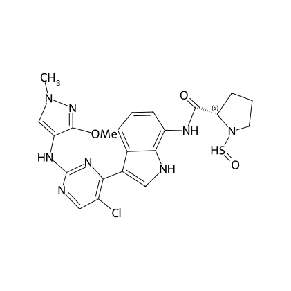 COc1nn(C)cc1Nc1ncc(Cl)c(-c2c[nH]c3c(NC(=O)[C@@H]4CCCN4[SH]=O)cccc23)n1